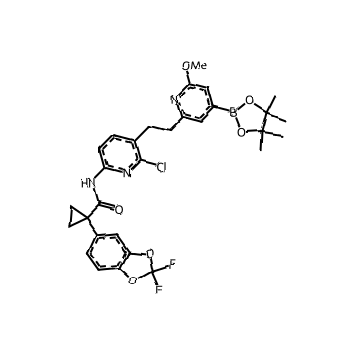 COc1cc(B2OC(C)(C)C(C)(C)O2)cc(CCc2ccc(NC(=O)C3(c4ccc5c(c4)OC(F)(F)O5)CC3)nc2Cl)n1